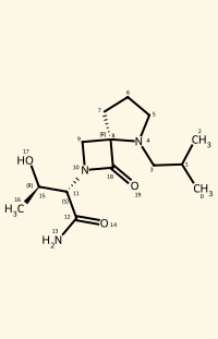 CC(C)CN1CCC[C@]12CN([C@H](C(N)=O)[C@@H](C)O)C2=O